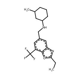 CCc1nc2cc(CNC3CCCC(C)C3)cc(C(F)(F)F)c2o1